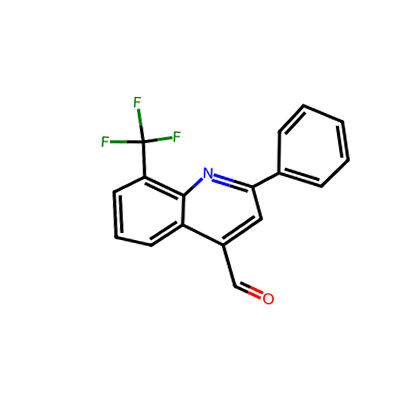 O=Cc1cc(-c2ccccc2)nc2c(C(F)(F)F)cccc12